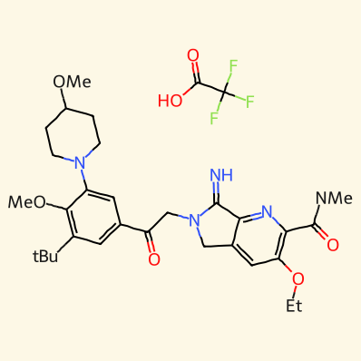 CCOc1cc2c(nc1C(=O)NC)C(=N)N(CC(=O)c1cc(N3CCC(OC)CC3)c(OC)c(C(C)(C)C)c1)C2.O=C(O)C(F)(F)F